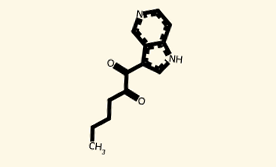 CCCCC(=O)C(=O)c1c[nH]c2ccncc12